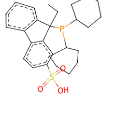 CCC1(P(C2CCCCC2)C2CCCCC2)c2ccccc2-c2ccc(S(=O)(=O)O)cc21